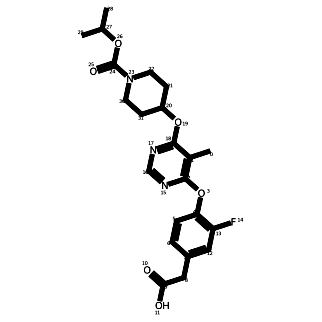 Cc1c(Oc2ccc(CC(=O)O)cc2F)ncnc1OC1CCN(C(=O)OC(C)C)CC1